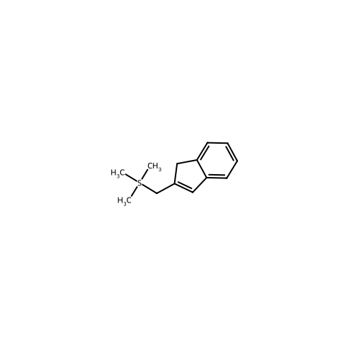 CS(C)(C)CC1=Cc2ccccc2C1